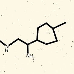 CNCC(N)C1CCC(C)CC1